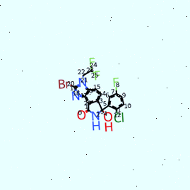 O=C1NC(O)(c2cc(F)ccc2Cl)c2ccc3c(nc(Br)n3CC(F)F)c21